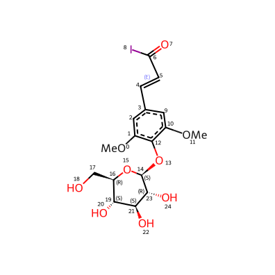 COc1cc(/C=C/C(=O)I)cc(OC)c1O[C@@H]1O[C@H](CO)[C@@H](O)[C@H](O)[C@H]1O